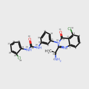 C[C@H](N)c1nc2cccc(Cl)c2c(=O)n1-c1cccc(NC(=O)Nc2ccccc2Cl)c1